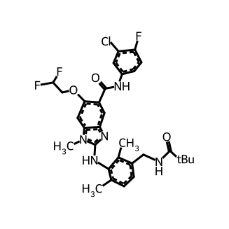 Cc1ccc(CNC(=O)C(C)(C)C)c(C)c1Nc1nc2cc(C(=O)Nc3ccc(F)c(Cl)c3)c(OCC(F)F)cc2n1C